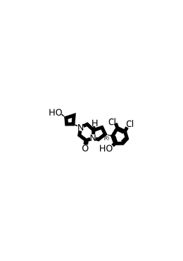 O=C1CN([C@H]2C[C@@H](O)C2)C[C@@H]2C[C@H](c3c(O)ccc(Cl)c3Cl)CN12